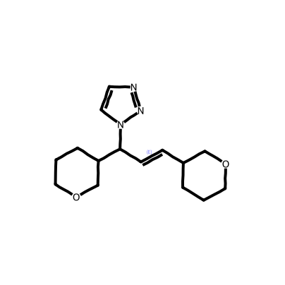 C(=C\C(C1CCCOC1)n1ccnn1)/C1CCCOC1